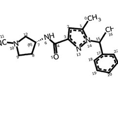 Cc1cc(C(=O)N[C@@H]2CCN(C#N)C2)nn1C(C)c1ccccc1